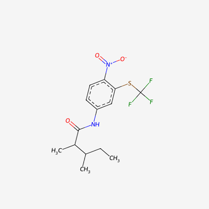 CCC(C)C(C)C(=O)Nc1ccc([N+](=O)[O-])c(SC(F)(F)F)c1